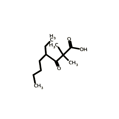 CCCCC(CC)C(=O)C(C)(C)C(=O)O